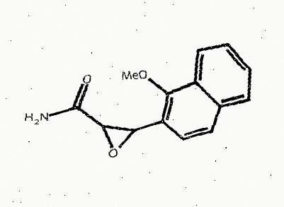 COc1c(C2OC2C(N)=O)ccc2ccccc12